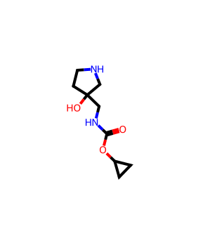 O=C(NCC1(O)CCNC1)OC1CC1